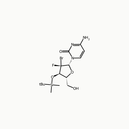 CC(C)(C)[Si](C)(C)O[C@@H]1[C@@H](CO)O[C@@H](n2ccc(N)nc2=O)[C@@]1(F)Br